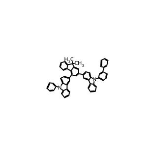 CC1(C)c2ccccc2-c2c(-c3ccc4c(c3)c3ccccc3n4-c3ccccc3)cc(-c3ccc4c(c3)c3ccccc3n4-c3cccc(-c4ccccc4)c3)cc21